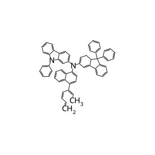 C=C/C=C\C(=C/C)c1ccc(N(C2=CCC3C(=C2)c2ccccc2C3(c2ccccc2)c2ccccc2)c2ccc3c4ccccc4n(-c4ccccc4)c3c2)c2ccccc12